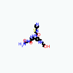 CC(C)(O)CCn1cc2cc(NC(=O)c3csc(-c4ccncc4)n3)c(-c3cncc(C(=O)NCC(N)=O)c3)cc2n1